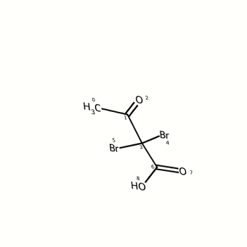 CC(=O)C(Br)(Br)C(=O)O